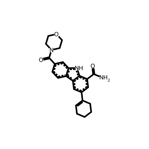 NC(=O)c1cc(C2=CCCCC2)cc2c1[nH]c1cc(C(=O)N3CCOCC3)ccc12